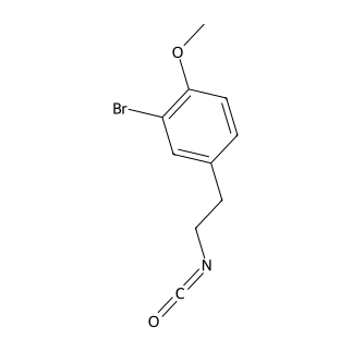 COc1ccc(CCN=C=O)cc1Br